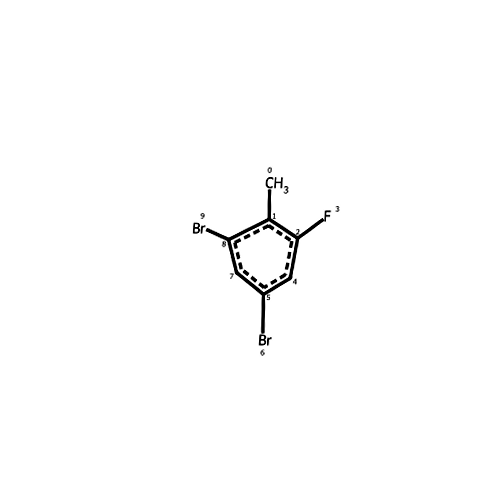 Cc1c(F)cc(Br)cc1Br